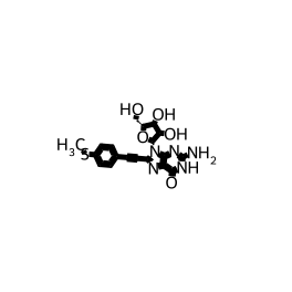 CSc1ccc(C#Cc2nc3c(=O)[nH]c(N)nc3n2[C@@H]2O[C@H](CO)C(O)C2O)cc1